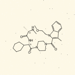 CN[C@@H](C)C(=O)N[C@H](C(=O)N1CCN(C(=O)c2c(C)c3ccccc3n2CCOC)CC1)C1CCCCC1